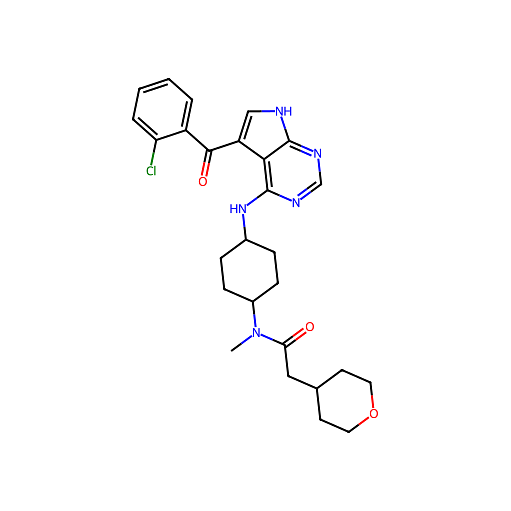 CN(C(=O)CC1CCOCC1)C1CCC(Nc2ncnc3[nH]cc(C(=O)c4ccccc4Cl)c23)CC1